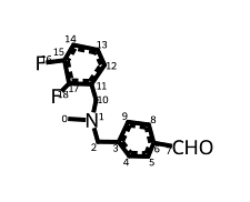 CN(Cc1ccc(C=O)cc1)Cc1cccc(F)c1F